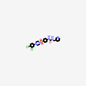 O=C(NCc1cccnc1)Nc1ccc(S(=O)(=O)N2CCN(c3ccc(Cl)c(Cl)c3)CC2)cc1